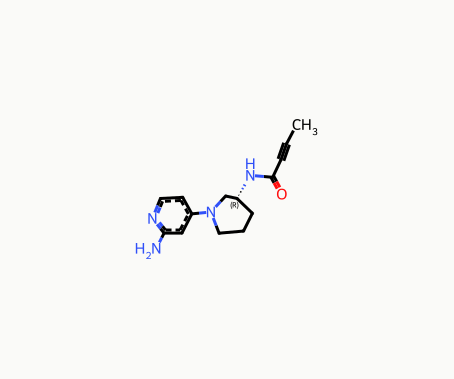 CC#CC(=O)N[C@@H]1CCCN(c2ccnc(N)c2)C1